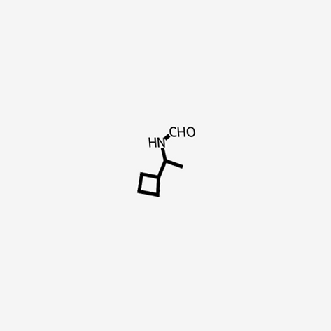 CC(NC=O)C1CCC1